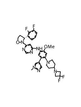 COc1cc(N2CCC(N3CC(F)(F)C3)CC2)c(-c2cnn(C)c2)cc1Nc1cc(N2OCC[C@@H]2c2cccc(F)c2F)ncn1